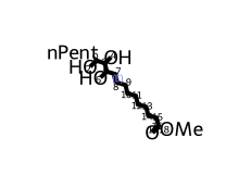 CCCCCC(O)C(O)C(O)/C=C/CCCCCCCC(=O)OC